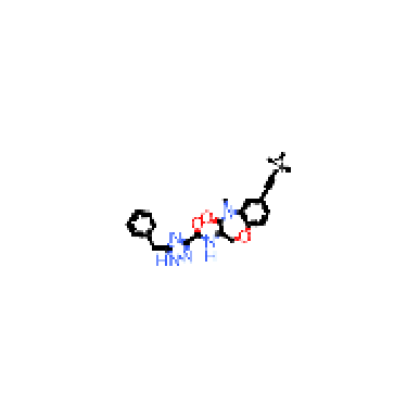 CN1C(=O)[C@H](NC(=O)c2n[nH]c(Cc3ccccc3)n2)COc2ccc(C#C[Si](C)(C)C)cc21